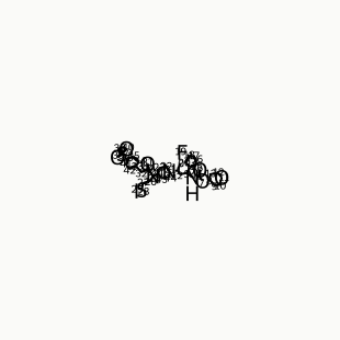 CC(CC(NC(=O)OC1CCOCC1)c1cccc(F)c1)N1CCC(N(CCSI)C(=O)Cc2ccc(S(C)(=O)=O)cc2)CC1